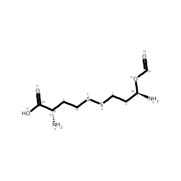 N[C@@H](CCSSCC[C@H](N)C(=O)O)OC=O